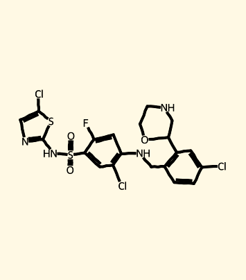 O=S(=O)(Nc1ncc(Cl)s1)c1cc(Cl)c(NCc2ccc(Cl)cc2C2CNCCO2)cc1F